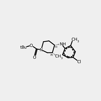 Cc1cc(Cl)ccc1N[C@H]1CCN(C(=O)OC(C)(C)C)C[C@H]1C